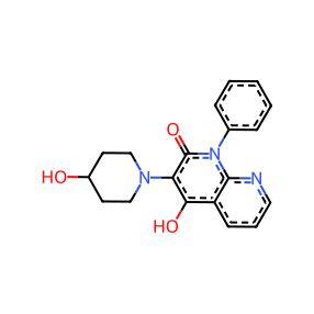 O=c1c(N2CCC(O)CC2)c(O)c2cccnc2n1-c1ccccc1